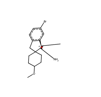 COC1CCC2(CC1)Cc1ccc(Br)cc1[C@@]21N=C(C)C(N)=N1